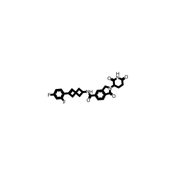 O=C1CCC(N2Cc3cc(C(=O)NC4CC5(C=C(c6ccc(F)cc6F)C5)C4)ccc3C2=O)C(=O)N1